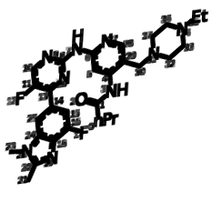 CCCC(=O)Nc1cc(Nc2ncc(F)c(-c3cc(F)c4nc(C)n(C)c4c3)n2)ncc1CN1CCN(CC)CC1